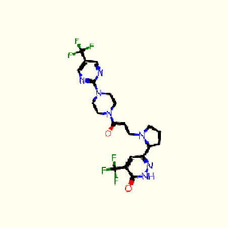 O=C(CCN1CCCC1c1cc(C(F)(F)F)c(=O)[nH]n1)N1CCN(c2ncc(C(F)(F)F)cn2)CC1